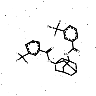 O=C(NC12CC3CC(C1)CC(NC(=O)c1cccc(C(F)(F)F)c1)(C3)C2)c1cccc(C(F)(F)F)c1